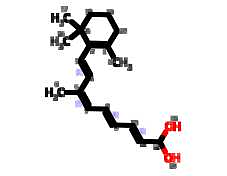 CC1=C(/C=C/C(C)=C\C=C\C=C\C(O)O)C(C)(C)CCC1